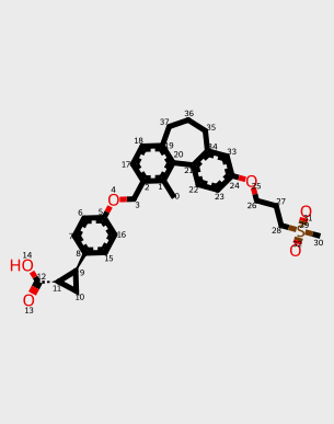 Cc1c(COc2ccc([C@H]3C[C@@H]3C(=O)O)cc2)ccc2c1-c1ccc(OCCCS(C)(=O)=O)cc1CCC2